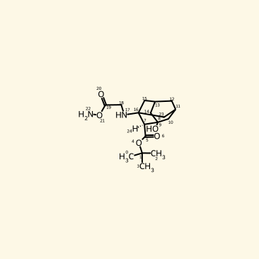 CC(C)(C)OC(=O)[C@@H]1C2(O)CC3CC(C2)CC1(NCC(=O)ON)C3